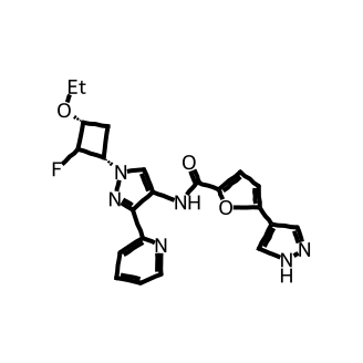 CCO[C@@H]1C[C@H](n2cc(NC(=O)c3ccc(-c4cn[nH]c4)o3)c(-c3ccccn3)n2)C1F